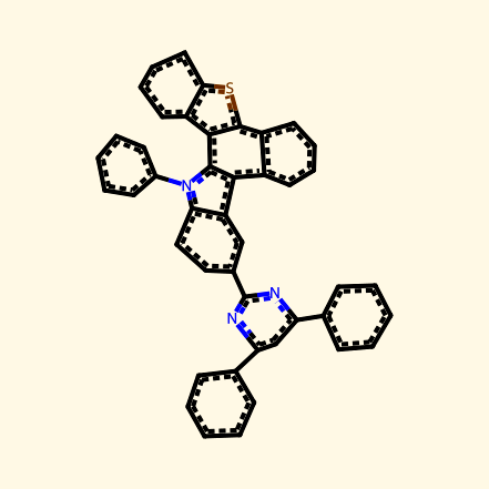 c1ccc(-c2cc(-c3ccccc3)nc(-c3ccc4c(c3)c3c5ccccc5c5sc6ccccc6c5c3n4-c3ccccc3)n2)cc1